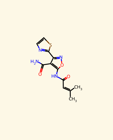 CC(C)=CC(=O)Nc1onc(-c2nccs2)c1C(N)=O